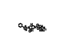 CCCCC(C)(C)OC(=O)N1C[C@H]2CN(c3ncc(-c4ccccc4)s3)C(=O)[C@H]2C1